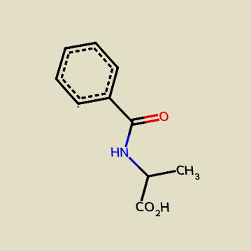 CC(NC(=O)c1[c]cccc1)C(=O)O